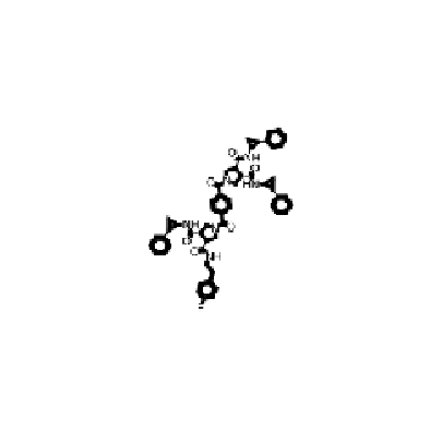 O=C(NCCc1ccc(F)cc1)[C@@H]1CN(C(=O)c2ccc(C(=O)N3C[C@@H](C(=O)N[C@H]4C[C@@H]4c4ccccc4)[C@H](C(=O)N[C@H]4C[C@@H]4c4ccccc4)C3)cc2)C[C@H]1C(=O)N[C@H]1C[C@@H]1c1ccccc1